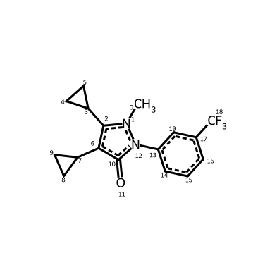 Cn1c(C2CC2)c(C2CC2)c(=O)n1-c1cccc(C(F)(F)F)c1